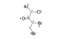 CC(=O)C(Cl)C(=O)C(Br)CBr